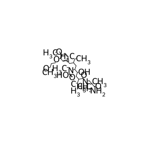 CCN(C(=O)O)C(CC(Cc1ccc(OC)c(OCCCOC)c1)C(C)C)C(O)CC(C(=O)NCC(C)(C)C(N)=O)C(C)C